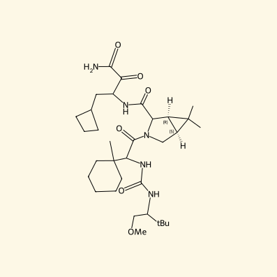 COCC(NC(=O)NC(C(=O)N1C[C@H]2[C@@H](C1C(=O)NC(CC1CCC1)C(=O)C(N)=O)C2(C)C)C1(C)CCCCC1)C(C)(C)C